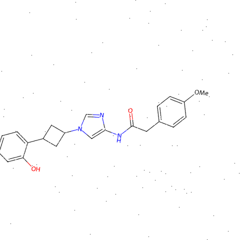 COc1ccc(CC(=O)Nc2cn(C3CC(c4ccccc4O)C3)cn2)cc1